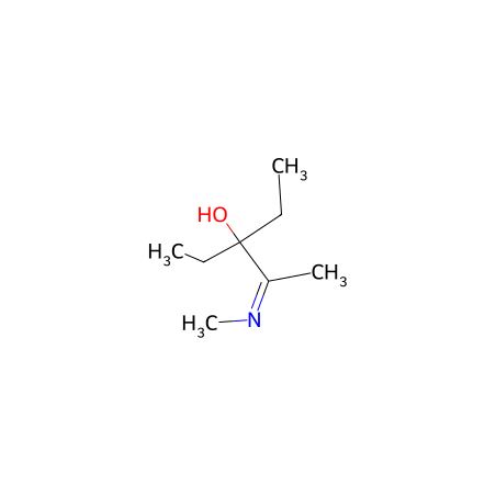 CCC(O)(CC)/C(C)=N\C